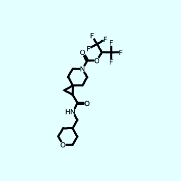 O=C(NCC1CCOCC1)C1CC12CCN(C(=O)OC(C(F)(F)F)C(F)(F)F)CC2